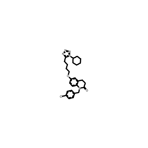 O=C1CCc2cc(OCCCCc3nnnn3C3CCCCC3)ccc2N1Cc1ccc(Cl)cc1